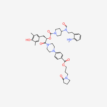 CNc1ccccc1CCN(C=O)C1CCN(C(=O)O[C@H](Cc2cc(C)c(O)c(C)c2)C(=O)N2CCN(c3ccc(C(=O)OCCCN4CCCC4=O)cc3)CC2)CC1